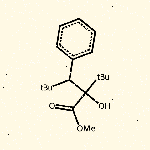 COC(=O)C(O)(C(c1ccccc1)C(C)(C)C)C(C)(C)C